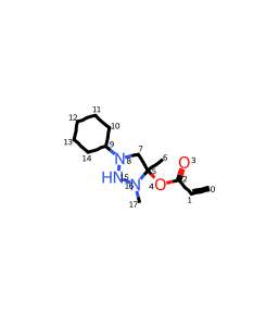 C=CC(=O)OC1(C)CN(C2CCCCC2)NN1C